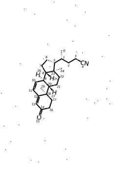 C[C@H](CCC#N)[C@H]1CC[C@H]2[C@@H]3C=CC4=CC(=O)CC[C@]4(C)[C@H]3CC[C@]12C